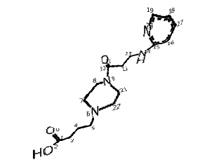 O=C(O)CCCN1CCN(C(=O)CCNc2ccccn2)CC1